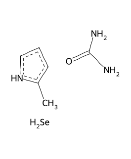 Cc1ccc[nH]1.NC(N)=O.[SeH2]